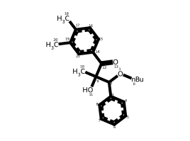 CCCCOC(c1ccccc1)C(C)(O)C(=O)c1ccc(C)c(C)c1